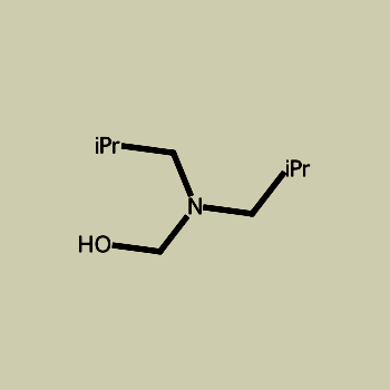 CC(C)CN(CO)CC(C)C